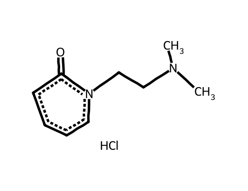 CN(C)CCn1ccccc1=O.Cl